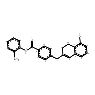 C=C(Nc1ccccc1C)c1ccc(CC2=Cc3cccc(Br)c3CC2)cc1